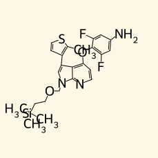 Cc1sccc1-c1cn(COCC[Si](C)(C)C)c2nccc(Oc3c(F)cc(N)cc3F)c12